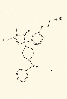 C#CCCOc1cccc(C2(C3CCN(C(=O)c4ccccc4)CC3)N=C(N)N(C)C2=O)c1